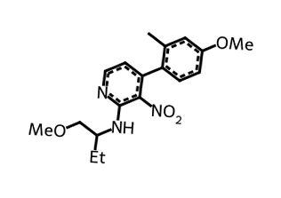 CCC(COC)Nc1nccc(-c2ccc(OC)cc2C)c1[N+](=O)[O-]